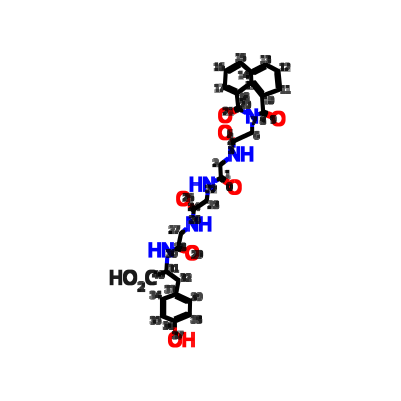 O=C(CNC(=O)CN1C(=O)c2cccc3cccc(c23)C1=O)NCC(=O)NCC(=O)NC(Cc1ccc(O)cc1)C(=O)O